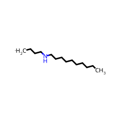 [CH2]CCCNCCCCCCCCCC